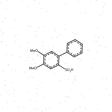 COc1cc(-c2ccccc2)c(S(=O)(=O)O)cc1OC